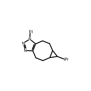 CCn1nnc2c1CCC1C(CC2)C1C(C)C